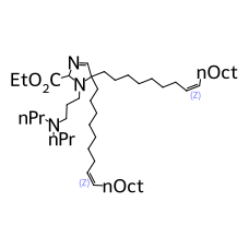 CCCCCCCC/C=C\CCCCCCCC1(CCCCCCC/C=C\CCCCCCCC)C=NC(C(=O)OCC)N1CCCN(CCC)CCC